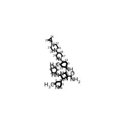 Cc1cc(-c2nc(C(N)=O)c(Nc3ccc(N4CCC(N5CCN(C6CC6)CC5)CC4)c(C)c3)nc2NC2CCOCC2)ccn1